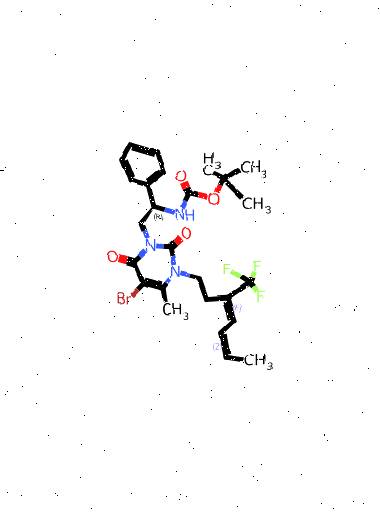 C/C=C\C=C(/CCn1c(C)c(Br)c(=O)n(C[C@H](NC(=O)OC(C)(C)C)c2ccccc2)c1=O)C(F)(F)F